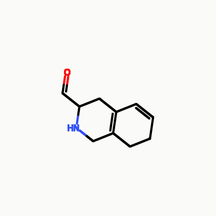 O=CC1CC2=C(CCC=C2)CN1